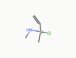 C=C[Si](C)(Cl)NC